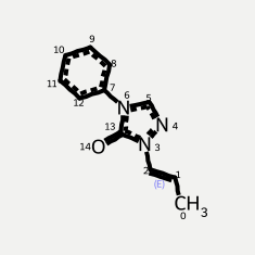 C/C=C/n1ncn(-c2ccccc2)c1=O